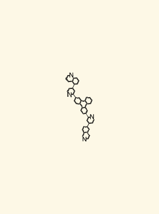 c1cc(-c2ccnc(-c3ccc4c5ccc(-c6cc(-c7ccc8cnccc8c7)ccn6)cc5c5ccccc5c4c3)c2)c2cccnc2c1